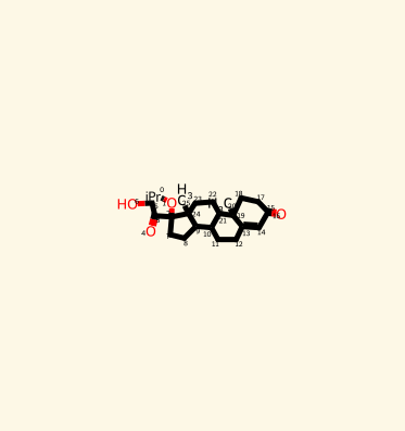 CC(C)OC1(C(=O)CO)CCC2C3CCC4=CC(=O)CCC4(C)C3CCC21C